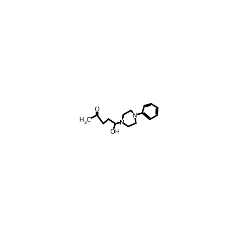 CC(=O)CCC(O)N1CCN(c2ccccc2)CC1